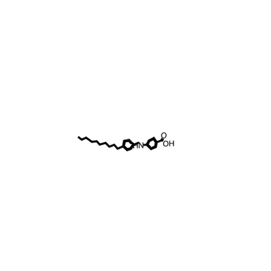 CCCCCCCCCCc1ccc(CNc2ccc(C(=O)O)cc2)cc1